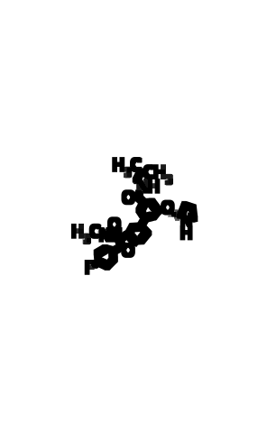 CNC(=O)c1c(-c2ccc(F)cc2)oc2ccc(-c3cc(OC[C@@H]4CCCN4)cc(C(=O)NCC(C)C)c3)cc12